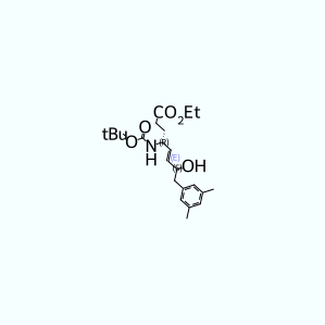 CCOC(=O)CC[C@H](/C=C/[C@@H](O)Cc1cc(C)cc(C)c1)NC(=O)OC(C)(C)C